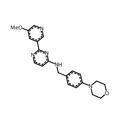 COc1cncc(-c2nccc(NCc3ccc(N4CCOCC4)cc3)n2)c1